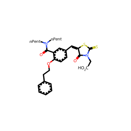 CCCCCN(CCCCC)C(=O)c1cc(C=C2SC(=S)N(CC(=O)O)C2=O)ccc1OCCc1ccccc1